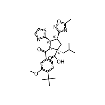 COc1cc(C(=O)N2[C@@H](c3nccs3)[C@@H](c3noc(C)n3)C[C@@]2(CC(C)C)C(=O)O)ccc1C(C)(C)C